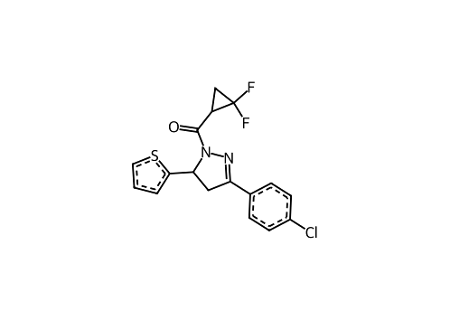 O=C(C1CC1(F)F)N1N=C(c2ccc(Cl)cc2)CC1c1cccs1